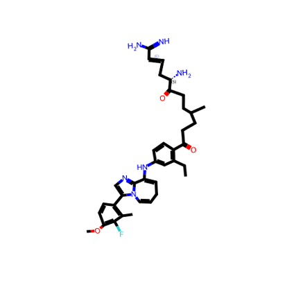 CCc1cc(NC2=CCC=Cn3c(-c4ccc(OC)c(F)c4C)cnc32)ccc1C(=O)CCC(C)CCC(=O)[C@@H](N)C/C=C/C(=N)N